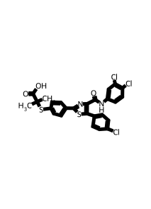 CC(C)(Sc1ccc(-c2nc(C(=O)Nc3ccc(Cl)c(Cl)c3)c(-c3ccc(Cl)cc3)s2)cc1)C(=O)O